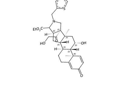 CCOC(=O)C1[C@@H]2C[C@H]3[C@@H]4CCC5=CC(=O)C=C[C@]5(C)[C@H]4[C@@H](O)C[C@]3(C)[C@]2(C(=O)CO)CN1Cc1cccs1